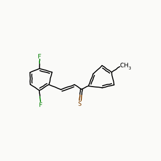 Cc1ccc(C(=S)C=Cc2cc(F)ccc2F)cc1